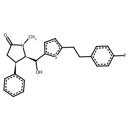 CN1C(=O)C[C@H](c2ccccc2)[C@@H]1C(O)c1ccc(CCc2ccc(F)cc2)s1